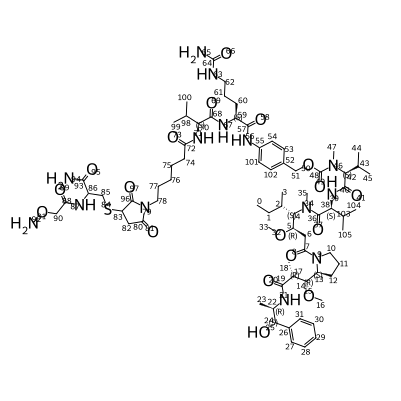 CCC(C)[C@@H]([C@@H](CC(=O)N1CCC[C@H]1[C@H](OC)[C@@H](C)C(=O)N[C@H](C)[C@@H](O)c1ccccc1)OC)N(C)C(=O)[C@@H](NC(=O)[C@H](C(C)C)N(C)C(=O)OCc1ccc(NC(=O)[C@H](CCCNC(N)=O)NC(=O)[C@@H](NC(=O)CCCCCN2C(=O)CC(SCC(NC(=O)CON)C(N)=O)C2=O)C(C)C)cc1)C(C)C